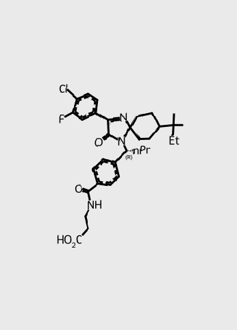 CCC[C@H](c1ccc(C(=O)NCCC(=O)O)cc1)N1C(=O)C(c2ccc(Cl)c(F)c2)=NC12CCC(C(C)(C)CC)CC2